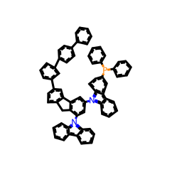 c1ccc(-c2ccc(-c3cccc(-c4ccc5c(c4)-c4cc(-n6c7ccccc7c7cc(P(c8ccccc8)c8ccccc8)ccc76)cc(-n6c7ccccc7c7ccccc76)c4C5)c3)cc2)cc1